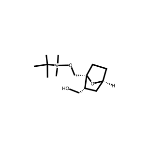 CC(C)(C)[Si](C)(C)OC[C@@]12CC[C@@H](C[C@@H]1CO)O2